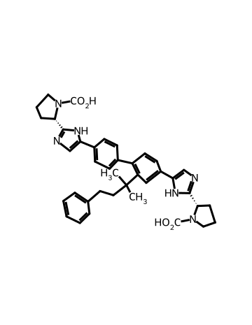 CC(C)(CCc1ccccc1)c1cc(-c2cnc([C@@H]3CCCN3C(=O)O)[nH]2)ccc1-c1ccc(-c2cnc([C@@H]3CCCN3C(=O)O)[nH]2)cc1